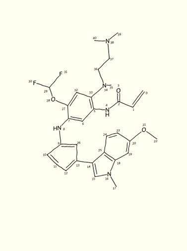 C=CC(=O)Nc1cc(Nc2cccc(-c3cn(C)c4cc(OC)ccc34)c2)c(OC(F)F)cc1N(C)CCN(C)C